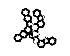 CCCc1ccc2c3cc4ccccc4cc3n(-c3c(-c4nc(-c5ccc6ccccc6c5)nc(-c5cccc6c5sc5ccccc56)n4)ccc4oc5ccccc5c34)c2c1